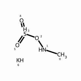 CNO[SH](=O)=O.[KH]